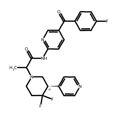 CC(C(=O)Nc1ccc(C(=O)c2ccc(F)cc2)cn1)N1CCC(F)(F)[C@@H](c2ccncc2)C1